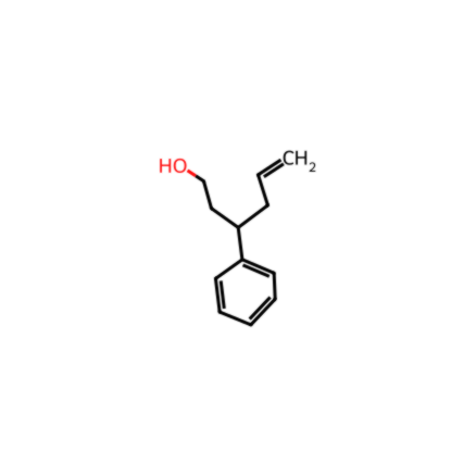 C=CCC(CCO)c1ccccc1